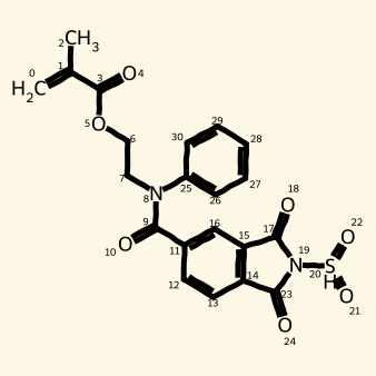 C=C(C)C(=O)OCCN(C(=O)c1ccc2c(c1)C(=O)N([SH](=O)=O)C2=O)c1ccccc1